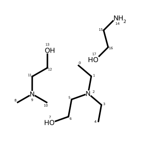 CCN(CC)CCO.CN(C)CCO.NCCO